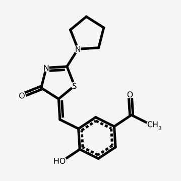 CC(=O)c1ccc(O)c(/C=C2\SC(N3CCCC3)=NC2=O)c1